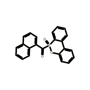 O=C(c1cccc2ccccc12)P1(=O)Oc2ccccc2-c2ccccc21